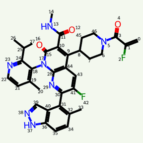 C=C(F)C(=O)N1CCC(c2c(C(=O)NC)c(=O)n(-c3c(C)ccnc3C(C)C)c3nc(-c4c(C)ccc5[nH]ncc45)c(F)cc23)CC1